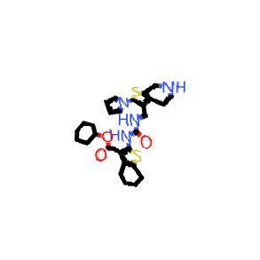 O=C(NCc1c(-n2cccc2)sc2c1CCNC2)Nc1sc2c(c1C(=O)OC1CCCCC1)CCCC2